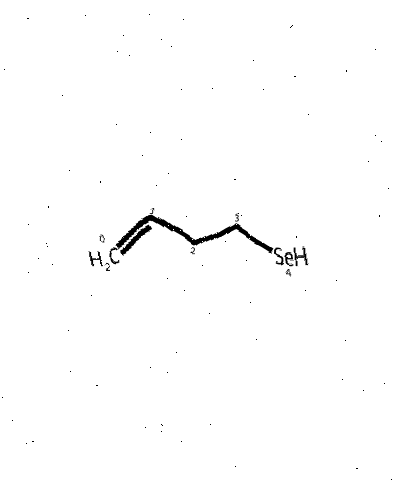 C=CCC[SeH]